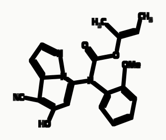 C/C=C(\C)OC(=O)N(c1ccccc1OC)c1cc(O)c(C#N)c2ccnn12